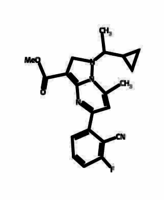 COC(=O)C1=C2N=C(c3cccc(F)c3C#N)C=C(C)N2N(C(C)C2CC2)C1